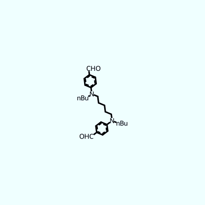 CCCCN(CCCCCN(CCCC)c1ccc(C=O)cc1)c1ccc(C=O)cc1